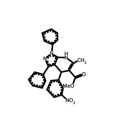 COC(=O)C1=C(C)Nc2c(c(-c3ccccc3)nn2-c2ccccc2)C1c1cccc([N+](=O)[O-])c1